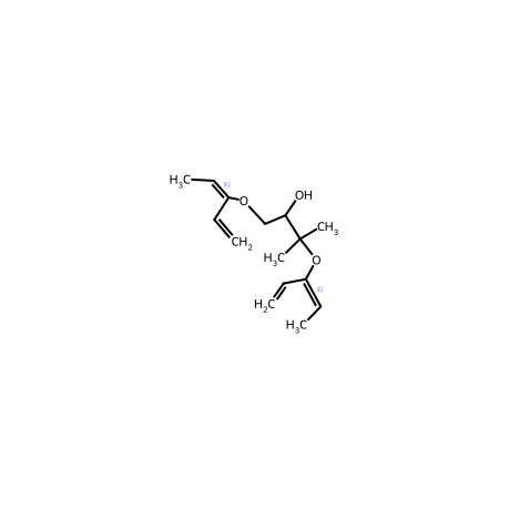 C=C/C(=C\C)OCC(O)C(C)(C)O/C(C=C)=C/C